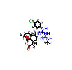 CC(C)NC(=N)NC(=N)Nc1ccc(Cl)cc1.C[C@@H]1CC[C@H]2[C@@H](C)C(=O)O[C@@H]3O[C@@]4(C)CC[C@@H]1[C@]32OO4